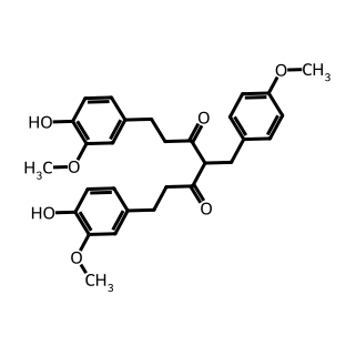 COc1ccc(CC(C(=O)CCc2ccc(O)c(OC)c2)C(=O)CCc2ccc(O)c(OC)c2)cc1